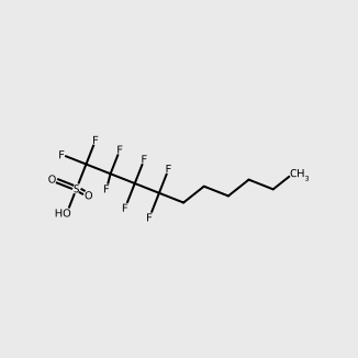 CCCCCCC(F)(F)C(F)(F)C(F)(F)C(F)(F)S(=O)(=O)O